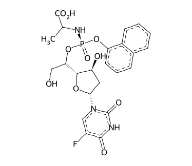 CC(N[P@](=O)(Oc1cccc2ccccc12)OC(CO)[C@H]1O[C@@H](n2cc(F)c(=O)[nH]c2=O)C[C@@H]1O)C(=O)O